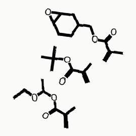 C=C(C)C(=O)OC(C)(C)C.C=C(C)C(=O)OC(C)OCC.C=C(C)C(=O)OCC1CCC2OC2C1